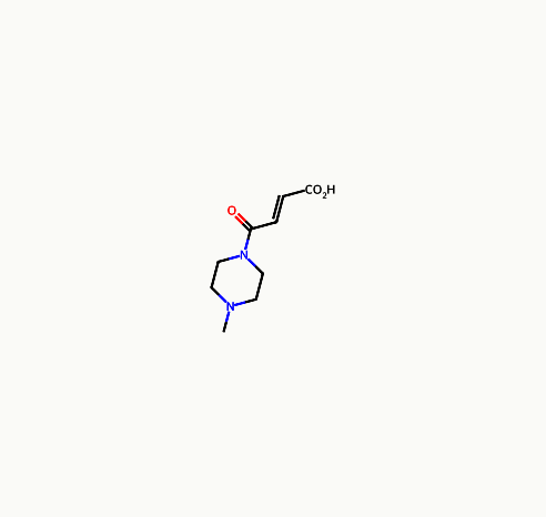 CN1CCN(C(=O)C=CC(=O)O)CC1